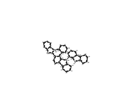 c1ccc2c(c1)nc1c3ccc4c5ccccc5n(-c5cccc6c5sc5ccccc56)c4c3c3ccccc3n21